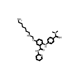 CN(C)C(=N)c1ccc(Nc2ccc(OCNCCCCCCN)cc2C(=O)Nc2ccccn2)cc1